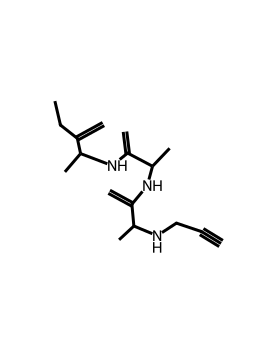 C#CCNC(C)C(=C)NC(C)C(=C)NC(C)C(=C)CC